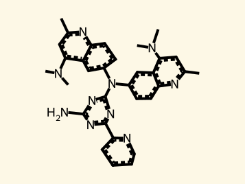 Cc1cc(N(C)C)c2cc(N(c3ccc4nc(C)cc(N(C)C)c4c3)c3nc(N)nc(-c4ccccn4)n3)ccc2n1